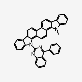 Cn1c2ccccc2c2ccc3c4ccc5c6ccccc6n(-c6nc(-c7ccccc7)c7ccccc7n6)c5c4ccc3c21